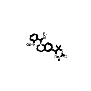 CCN=C(c1ccccc1OC)N1CCCc2cc(C3=NN(C)C(=O)SC3(C)C)ccc21